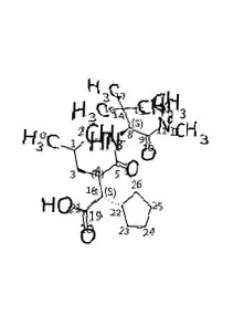 CC(C)C[C@@H](C(=O)N[C@H](C(=O)N(C)C)C(C)(C)C)[C@@H](C(=O)O)C1CCCC1